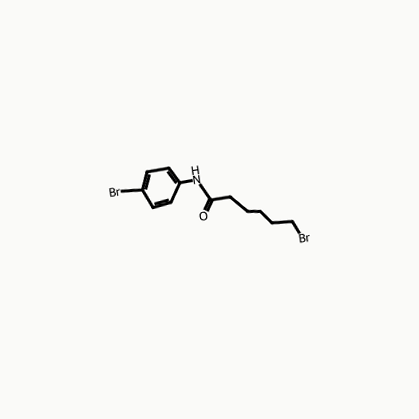 O=C(CCCCCBr)Nc1ccc(Br)cc1